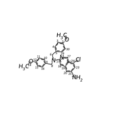 COc1ccc(CN(Cc2ccc(OC)cc2)c2cc3cc(N)cc(Cl)c3cn2)cc1